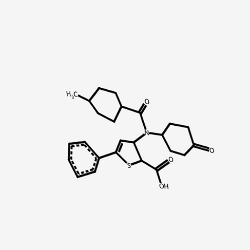 CC1CCC(C(=O)N(C2CCC(=O)CC2)C2C=C(c3ccccc3)SC2C(=O)O)CC1